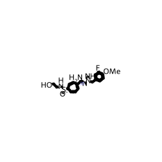 COc1ccc(CN(N)/N=C(\N)C2=CC=CC([S+]([O-])NCCO)C=C2)cc1F